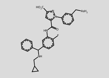 O=C(O)c1cc(C(=O)Nc2cc(C(NCC3CC3)c3ccccc3)ccc2F)n(-c2cccc(C[AsH2])c2)n1